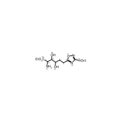 CCCCCCCCc1noc(CCC(O)C(O)C(N)C(=O)OCC)n1